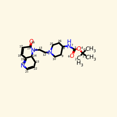 CC(C)(C)OC(=O)NC1CCN(CCN2C(=O)C=CC3=NC=CCC32)CC1